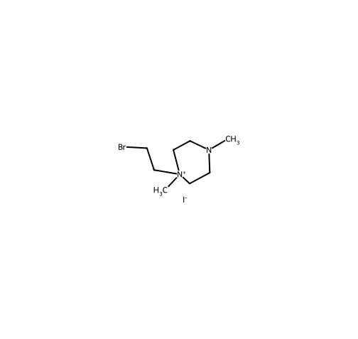 CN1CC[N+](C)(CCBr)CC1.[I-]